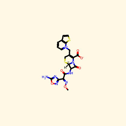 CON=C(C(=O)NC1C(=O)N2C(C(=O)[O-])=C(C[n+]3cccc4ccsc43)CS[C@@H]12)c1noc(N)n1